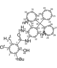 CCCCc1cc(Cl)c(C)c(C(=O)Nc2cc(CCC)c(C(c3ccccc3)(c3ccccc3)c3ccccc3)c(CCC)c2N)c1O